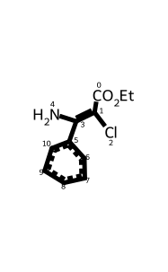 CCOC(=O)C(Cl)=C(N)c1ccccc1